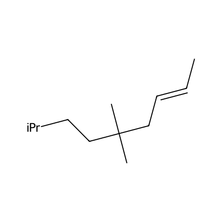 [CH2]C(C)CCC(C)(C)C/C=C/C